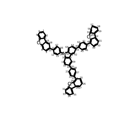 c1ccc2c(c1)oc1ccc(-c3ccc(-n4c5ccc(-c6ccc(-c7cccc8c7oc7ccccc78)cc6)cc5c5cc(-c6ccc(-c7cccc8c7oc7ccccc78)cc6)ccc54)cc3)cc12